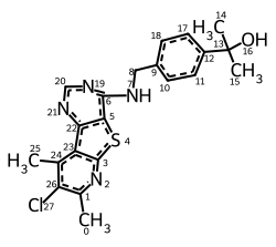 Cc1nc2sc3c(NCc4ccc(C(C)(C)O)cc4)ncnc3c2c(C)c1Cl